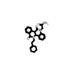 NC(=O)COc1ccccc1C1C(C(=O)O)c2ccccc2C(=O)N1CCC1=CCCCC1